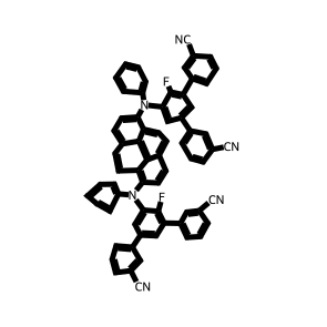 N#Cc1cccc(-c2cc(-c3cccc(C#N)c3)c(F)c(N(c3ccccc3)c3ccc4ccc5c(N(c6ccccc6)c6cc(-c7cccc(C#N)c7)cc(-c7cccc(C#N)c7)c6F)ccc6ccc3c4c65)c2)c1